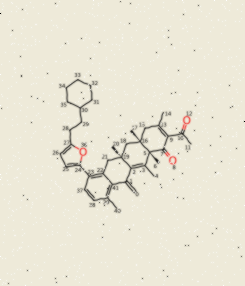 C=C1C2=C(C)[C@@]3(C)C(=O)C(C(C)=O)=C(C)C[C@@]3(C)C[C@@]2(C)Cc2c(-c3ccc(CCC4CCCCC4)o3)ccc(C)c21